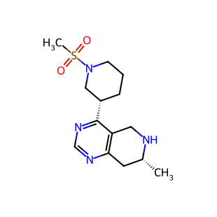 C[C@@H]1Cc2ncnc([C@H]3CCCN(S(C)(=O)=O)C3)c2CN1